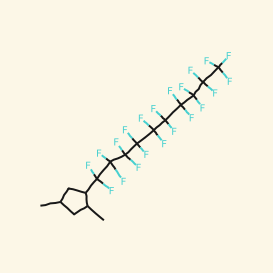 CC1CC(C)C(C(F)(F)C(F)(F)C(F)(F)C(F)(F)C(F)(F)C(F)(F)C(F)(F)C(F)(F)C(F)(F)C(F)(F)F)C1